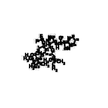 CC(C)[Si](Sc1ccc(OC(F)F)c(C(OCC[Si](C)(C)C)c2[nH]ncc2NC(=O)c2cnn3cccnc23)c1)(C(C)C)C(C)C